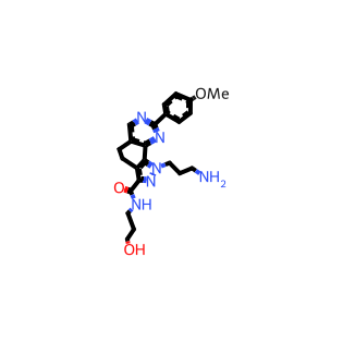 COc1ccc(-c2ncc3c(n2)-c2c(c(C(=O)NCCCO)nn2CCCN)CC3)cc1